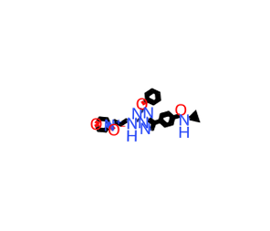 O=C(NC1CC1)c1ccc(-c2cnn3c(NCCC[N+]4([O-])CCOCC4)nc(Oc4ccccc4)nc23)cc1